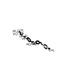 CCN1CCN(CCc2ccc3c(c2)sc2nc(-c4ccc(NC(=O)Nc5cc(C(C)(C)C)on5)cc4)cn23)CC1.Cl